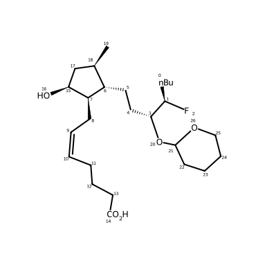 CCCC[C@@H](F)[C@@H](CC[C@@H]1[C@@H](C/C=C\CCCC(=O)O)[C@@H](O)C[C@H]1C)OC1CCCCO1